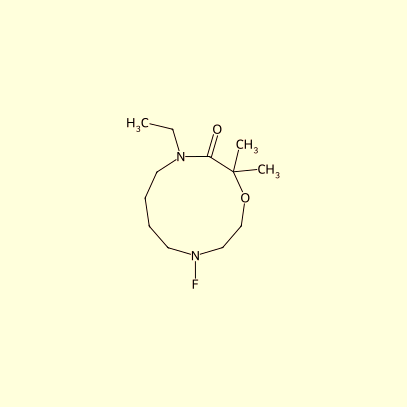 CCN1CCCCN(F)CCOC(C)(C)C1=O